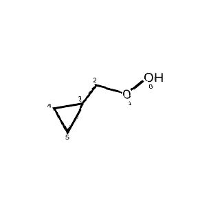 OOCC1CC1